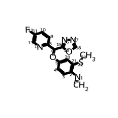 C=Nc1ccc(OC(c2ccc(F)cn2)c2nnco2)cc1SC